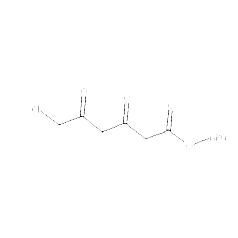 CCCCOC(=O)CC(=O)CC(=O)CCl